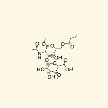 CO[C@@H]1OC(COC(=O)CI)[C@@H](O)[C@H](O[C@@H]2OC(C(=O)O)[C@@H](OC)[C@H](O)C2O)C1NC(C)=O